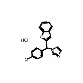 Cl.Clc1ccc(C(c2cc3ccccc3o2)n2ccnc2)cc1